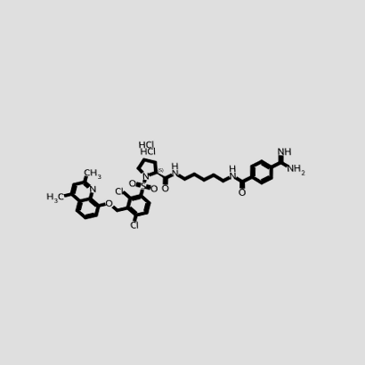 Cc1cc(C)c2cccc(OCc3c(Cl)ccc(S(=O)(=O)N4CCC[C@H]4C(=O)NCCCCCNC(=O)c4ccc(C(=N)N)cc4)c3Cl)c2n1.Cl.Cl